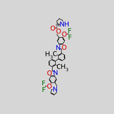 Cc1c(-c2nc3cc(COC(=O)[C@@H]4CCCN4)c(OC(F)F)cc3o2)cccc1-c1cccc(-c2nc3cc(CN4CC=CC4)c(OC(F)F)cc3o2)c1C